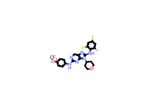 Fc1cc(F)c(Nc2nc3cnc(Nc4ccc(OC(F)(F)F)cc4)nc3n2C2CCOCC2)c(F)c1